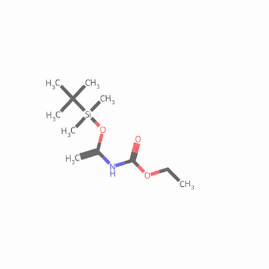 C=C(NC(=O)OCC)O[Si](C)(C)C(C)(C)C